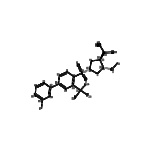 CO[C@@H]1C[C@H](S(=O)(=O)c2ccc(-c3ccnc(C)c3)cc2C(F)(F)F)C[C@H]1C(=O)O